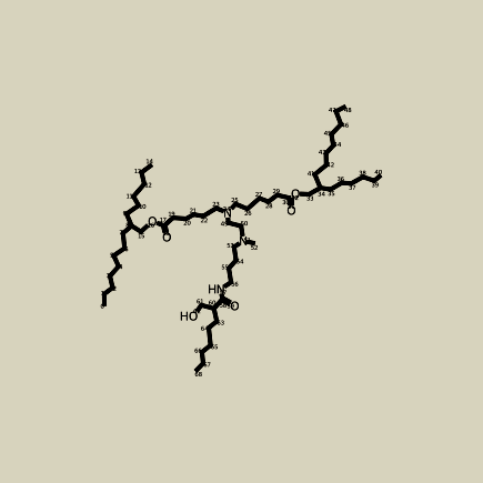 CCCCCCCCC(CCCCCC)COC(=O)CCCCCN(CCCCCC(=O)OCC(CCCCCC)CCCCCCCC)CCN(C)CCCCNC(=O)C(CO)CCCCCC